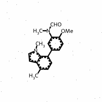 COc1ccc(-c2ccc(C)c3ccn(C)c23)cc1N(C)C=O